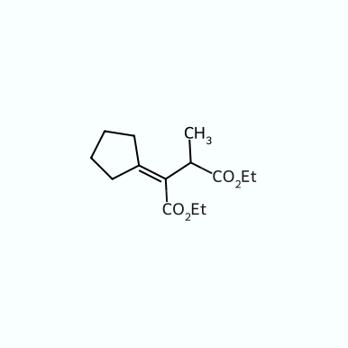 CCOC(=O)C(=C1CCCC1)C(C)C(=O)OCC